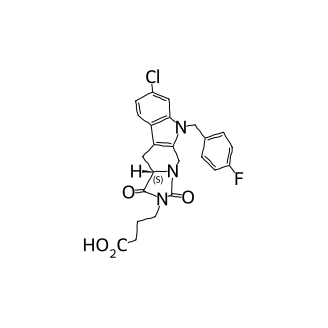 O=C(O)CCCN1C(=O)[C@@H]2Cc3c(n(Cc4ccc(F)cc4)c4cc(Cl)ccc34)CN2C1=O